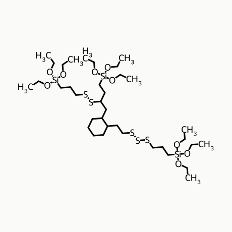 CCO[Si](CCCSSSCCC1CCCCC1CC(CC[Si](OCC)(OCC)OCC)SSCCC[Si](OCC)(OCC)OCC)(OCC)OCC